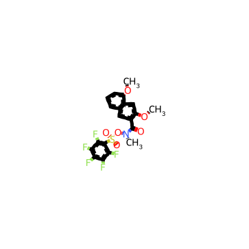 COc1cc2c(OC)cccc2cc1C(=O)N(C)OS(=O)(=O)c1c(F)c(F)c(F)c(F)c1F